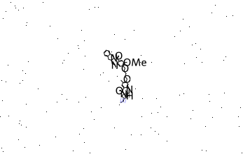 C/C=C1/C[C@H]2C=Nc3cc(OCCCOc4cc5c(cc4OC)C(=O)N4Cc6ccccc6CC4C=N5)c(C)cc3C(=O)N2C1